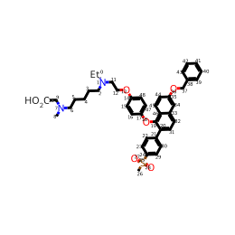 CCN(CCCCCN(C)CC(=O)O)CCOc1ccc(Oc2c(-c3ccc(S(C)(=O)=O)cc3)ccc3cc(OCc4ccccc4)ccc23)cc1